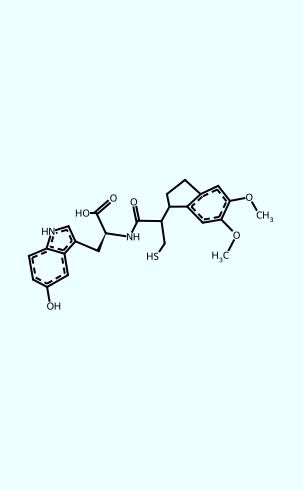 COc1cc2c(cc1OC)C(C(CS)C(=O)N[C@@H](Cc1c[nH]c3ccc(O)cc13)C(=O)O)CC2